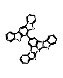 c1ccc2c(c1)nc1n2c2cc(-c3c4oc5ccccc5c4cc4c3oc3ccccc34)cc3c2n1c1nc2ccccc2n31